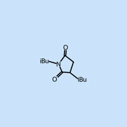 CCC(C)C1CC(=O)N(C(C)CC)C1=O